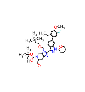 CCc1cc(OC)c(F)cc1-c1ccc2c(-c3nc4c(n3COCC[Si](C)(C)C)CN(C(=O)OC(C)(C)C)C(C=O)C4)nn(C3CCCCO3)c2c1